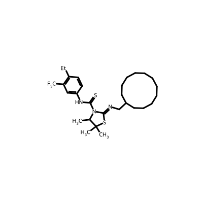 CCc1ccc(NC(=S)N2C(=NCC3CCCCCCCCCCC3)SC(C)(C)C2C)cc1C(F)(F)F